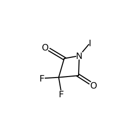 O=C1N(I)C(=O)C1(F)F